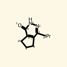 CC(C)c1n[nH]c(=O)c2c1CCC2